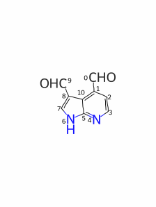 O=Cc1ccnc2[nH]cc(C=O)c12